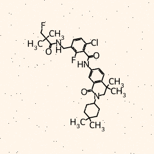 CC1(C)CCC(N2CC(C)(C)c3ccc(NC(=O)c4c(Cl)ccc(CNC(=O)C(C)(C)CF)c4F)cc3C2=O)CC1